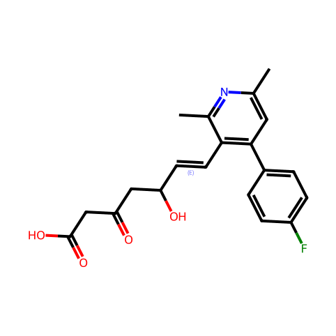 Cc1cc(-c2ccc(F)cc2)c(/C=C/C(O)CC(=O)CC(=O)O)c(C)n1